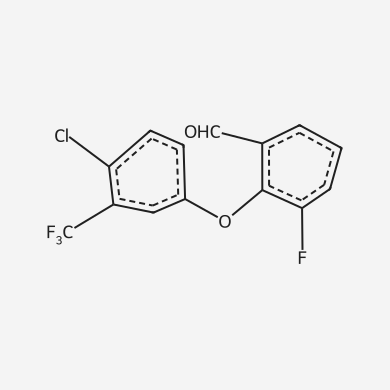 O=Cc1cccc(F)c1Oc1ccc(Cl)c(C(F)(F)F)c1